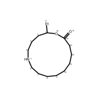 CCC1CCCNCCCCCCCCC(=O)O1